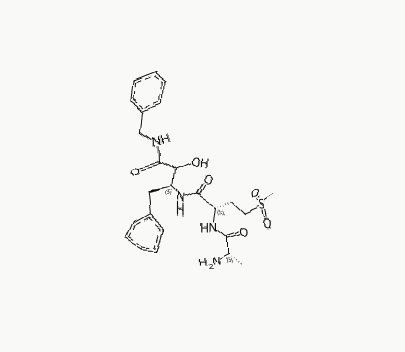 C[C@H](N)C(=O)N[C@@H](CCS(C)(=O)=O)C(=O)N[C@@H](Cc1ccccc1)C(O)C(=O)NCc1ccccc1